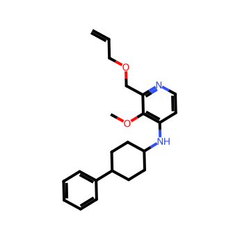 C=CCOCc1nccc(NC2CCC(c3ccccc3)CC2)c1OC